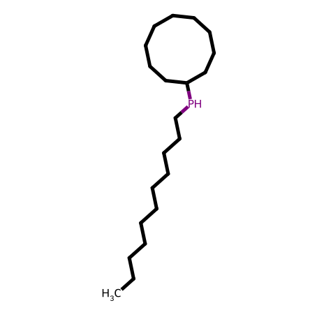 CCCCCCCCCCCPC1CCCCCCCCC1